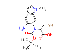 Cn1ccc2cc(N)c(N(C(=O)OC(C)(C)C)C(CS)C(=O)O)cc21